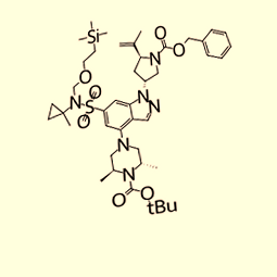 C=C(C)[C@@H]1C[C@@H](n2ncc3c(N4C[C@H](C)N(C(=O)OC(C)(C)C)[C@@H](C)C4)cc(S(=O)(=O)N(COCC[Si](C)(C)C)C4(C)CC4)cc32)CN1C(=O)OCc1ccccc1